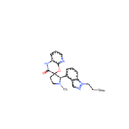 COCCn1ncc2c(C3N(C#N)CCC34Oc3ncccc3NC4=O)cccc21